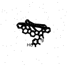 Cc1c(O)ccc(C2c3c(c4c5ccc6c7ccc8c9c%10c%11c%12c%13c%14c%15c%16c(c3C%15CCC%14C%12CCC8%11)c4c3c5c6c(c79)c4c%10c%13c%16c34)CN2C)c1C